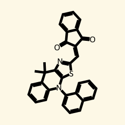 CC1(C)c2ccccc2N(c2cccc3ccccc23)c2sc(C=C3C(=O)c4ccccc4C3=O)nc21